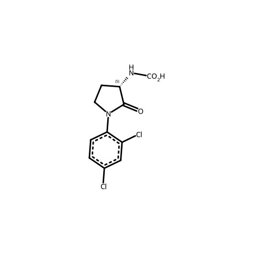 O=C(O)N[C@H]1CCN(c2ccc(Cl)cc2Cl)C1=O